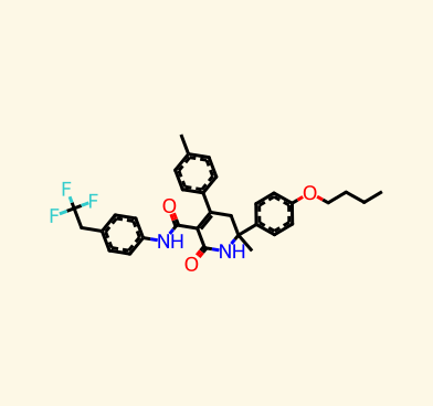 CCCCOc1ccc(C2(C)CC(c3ccc(C)cc3)=C(C(=O)Nc3ccc(CC(F)(F)F)cc3)C(=O)N2)cc1